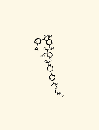 C=C(/N=C\C=C/N)c1ccc(C2CCN(C(=O)CN3CC[C@@](COC)(C(=O)Nc4ccc5[nH]nc(-c6ccnc(C7CC7)c6)c5c4)C3)CC2)cc1